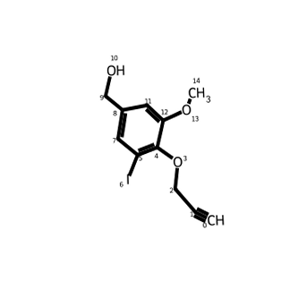 C#CCOc1c(I)cc(CO)cc1OC